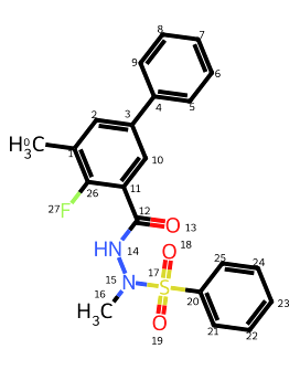 Cc1cc(-c2ccccc2)cc(C(=O)NN(C)S(=O)(=O)c2ccccc2)c1F